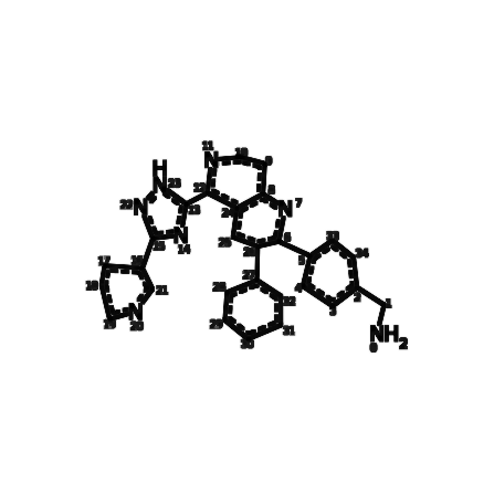 NCc1ccc(-c2nc3ccnc(-c4nc(-c5cccnc5)n[nH]4)c3cc2-c2ccccc2)cc1